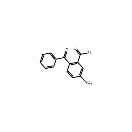 CCC(=O)c1cc([N+](=O)[O-])ccc1C(=O)c1ccccc1